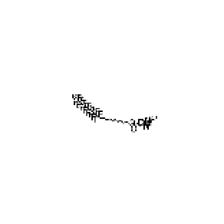 O=C(OCCCCCCCCCCCC(F)(F)C(F)(F)C(F)(F)C(F)(F)C(F)(F)C(F)(F)C(F)(F)C(F)(F)F)c1ccc2[nH]nnc2c1